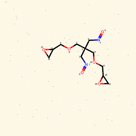 O=NCC(CN=O)(COCC1CO1)COCC1CO1